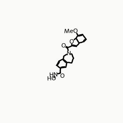 COC1=CC=CC2C=C(C(=O)N3CCCc4cc(C(=O)NO)ccc4C3)OC12